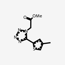 COC(=O)Cn1nnnc1-c1cc(C)cs1